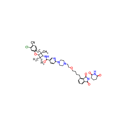 CC1(C)C(NC(=O)c2ccc(N3CCN(CCOCCCCc4cccc5c4C(=O)N([C@H]4CCC(=O)NC4=O)C5=O)CC3)nc2)C(C)(C)C1Oc1ccc(C#N)c(Cl)c1